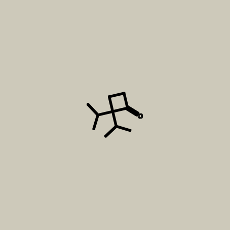 CC(C)C1(C(C)C)CCC1=O